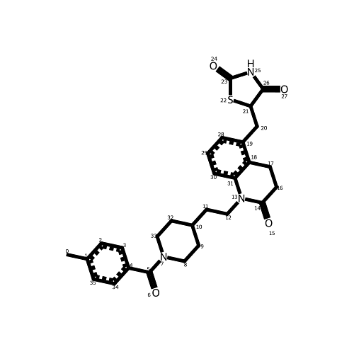 Cc1ccc(C(=O)N2CCC(CCN3C(=O)CCc4c(CC5SC(=O)NC5=O)cccc43)CC2)cc1